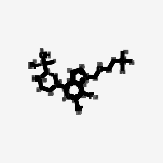 CC(C)[C@@](C)(O)[C@@H]1CN(c2nc(Br)c(F)c3c2ccn3COCC[Si](C)(C)C)CCN1